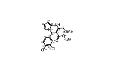 COCC1=C(C(=O)OC(C)(C)C)C(c2ccc(Cl)c(Cl)c2)n2nccc2N1